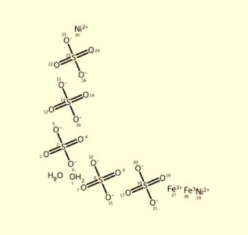 O.O.O=S(=O)([O-])[O-].O=S(=O)([O-])[O-].O=S(=O)([O-])[O-].O=S(=O)([O-])[O-].O=S(=O)([O-])[O-].[Fe+3].[Fe+3].[Ni+2].[Ni+2]